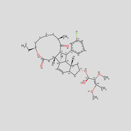 CC[C@H]1CCCC[C@@H](C)C(=O)C2C(c3cccc(F)c3)C3[C@@H]4C[C@H](O[C@H](O)/C(OC)=C(/C)OC)CC4C=C[C@H]3[C@@H]2CC(=O)O1